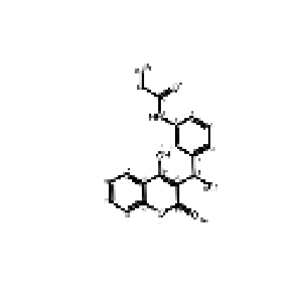 CCC(c1cccc(NC(=O)[CH]C(C)C)c1)c1c(O)c2ccccc2oc1=O